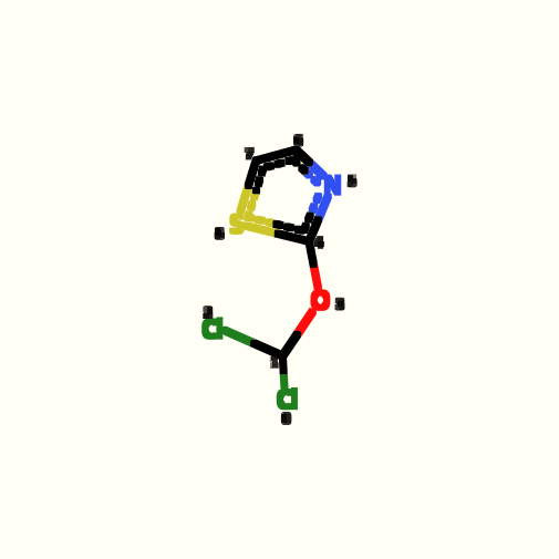 ClC(Cl)Oc1n[c]cs1